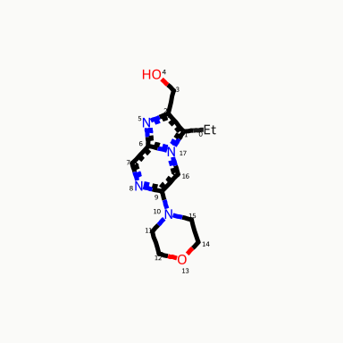 CCc1c(CO)nc2cnc(N3CCOCC3)cn12